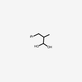 CC(C)CC(C)C(O)O